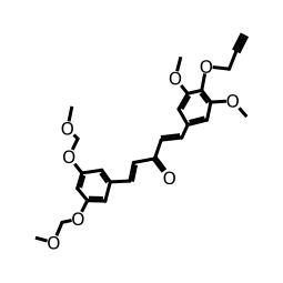 C#CCOc1c(OC)cc(/C=C/C(=O)/C=C/c2cc(OCOC)cc(OCOC)c2)cc1OC